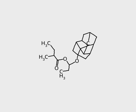 CCC(OC(=O)C(C)CC)OC12CC3C4CC5CC3C(C1)C(C5)C4C2